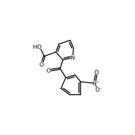 O=C(O)c1cccnc1C(=O)c1cccc([N+](=O)[O-])c1